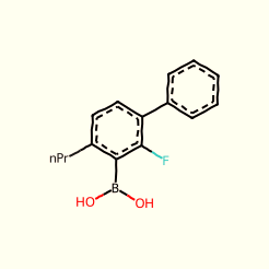 CCCc1ccc(-c2ccccc2)c(F)c1B(O)O